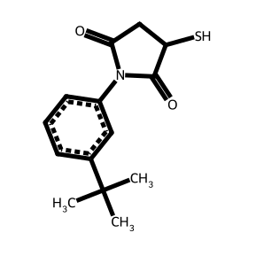 CC(C)(C)c1cccc(N2C(=O)CC(S)C2=O)c1